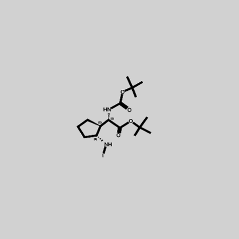 CC(C)(C)OC(=O)N[C@H](C(=O)OC(C)(C)C)[C@@H]1CCC[C@H]1NI